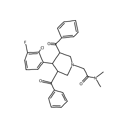 CN(C)C(=O)CN1CC(C(=O)c2ccccc2)C(c2cccc(F)c2Cl)C(C(=O)c2ccccc2)C1